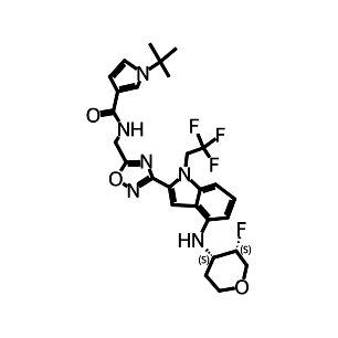 CC(C)(C)n1ccc(C(=O)NCc2nc(-c3cc4c(N[C@H]5CCOC[C@H]5F)cccc4n3CC(F)(F)F)no2)c1